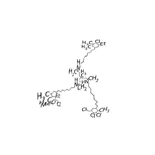 C=C(CCC(C)(CCC(=C)NCCCCCCCCCC1CC(CC)C(Cl)C(C)C1C)CCC(=C)NCCCCCCCCCC1CC(CCl)C(Cl)C(Cl)C1C)NCCCCCCCCCCC(C)C(C)C(CC)C(CCl)OC